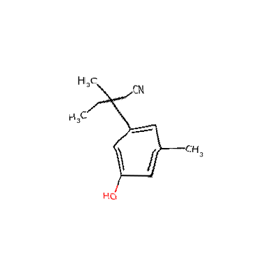 Cc1cc(O)cc(C(C)(C)C#N)c1